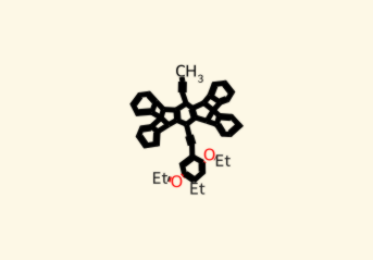 CC#CC1C2=C(C(C#Cc3cc(OCC)c(CC)cc3OCC)C3=C1C1c4ccccc4C14c1ccccc1C34)C1c3ccccc3C13c1ccccc1C23